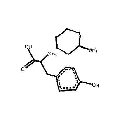 NC(Cc1ccc(O)cc1)C(=O)O.NC1CCCCC1